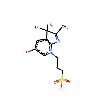 CC1=Nc2c(cc(Br)c[n+]2CCCS(=O)(=O)[O-])C1(C)C